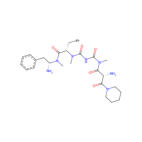 CC(C)C[C@@H](C(=O)N(C)[C@H](N)Cc1ccccc1)N(C)C(=O)NC(=O)N(C)C(=O)[C@H](N)C(=O)N1CCCCC1